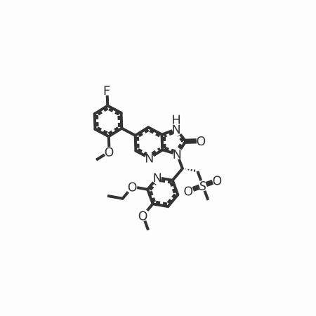 CCOc1nc([C@@H](CS(C)(=O)=O)n2c(=O)[nH]c3cc(-c4cc(F)ccc4OC)cnc32)ccc1OC